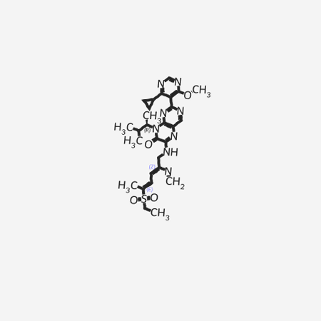 C=N/C(=C\C=C(/C)S(=O)(=O)CC)CNc1nc2cnc(-c3c(OC)ncnc3C3CC3)nc2n([C@H](C)C(C)C)c1=O